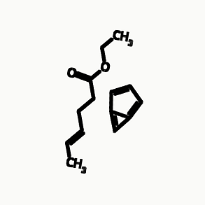 CC=CCCC(=O)OCC.c1cc2cc-2c1